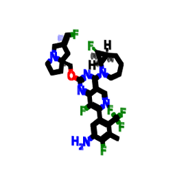 Cc1c(F)c(N)cc(-c2ncc3c(N4CCCC[C@@H]5[C@@H](F)[C@@H]54)nc(OC[C@@]45CCCN4C/C(=C/F)C5)nc3c2F)c1C(F)(F)F